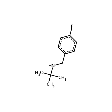 CC(C)(C)NCc1ccc(F)cc1